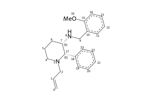 C=CCN1CCC[C@H](NCc2ccccc2OC)[C@@H]1c1ccccc1